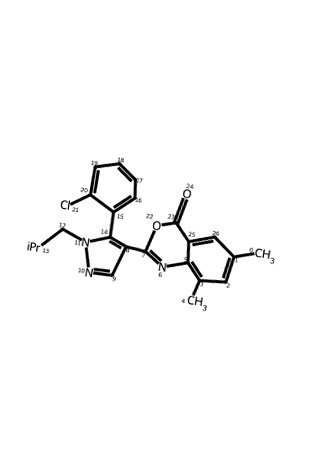 Cc1cc(C)c2nc(-c3cnn(CC(C)C)c3-c3ccccc3Cl)oc(=O)c2c1